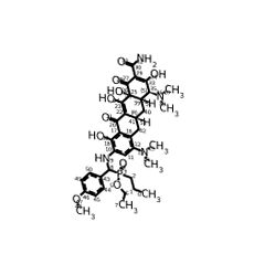 CCCP(=O)(OCC)C(Nc1cc(N(C)C)c2c(c1O)C(=O)C1=C(O)[C@]3(O)C(=O)C(C(N)=O)=C(O)[C@@H](N(C)C)[C@@H]3C[C@@H]1C2)c1ccc(OC)cc1